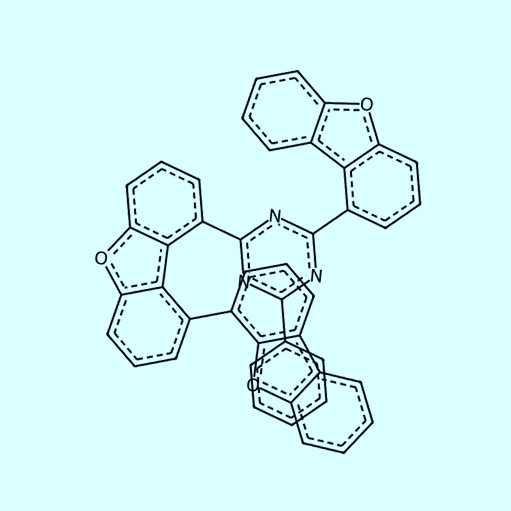 c1ccc(-c2nc(-c3cccc4oc5ccccc5c34)nc(-c3cccc4oc5cccc(-c6cccc7c6oc6ccccc67)c5c34)n2)cc1